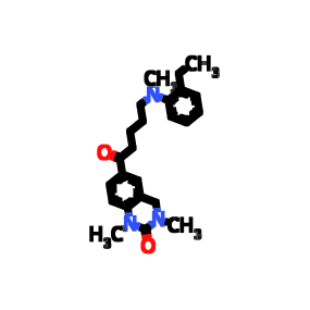 CCc1ccccc1N(C)CCCCC(=O)c1ccc2c(c1)CN(C)C(=O)N2C